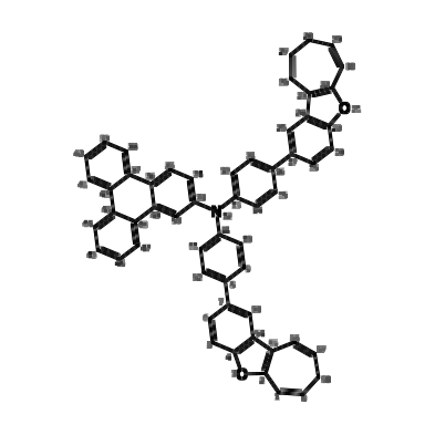 C1=Cc2oc3ccc(-c4ccc(N(c5ccc(-c6ccc7oc8c(c7c6)C=CCC=C8)cc5)c5ccc6c7ccccc7c7ccccc7c6c5)cc4)cc3c2C=CC1